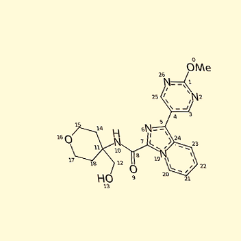 COc1ncc(-c2nc(C(=O)NC3(CO)CCOCC3)n3ccccc23)cn1